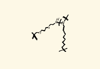 CC(C)(C)CCCCCCCCN(C(C)(C)C)C(C)(C)NCCSCCCOCC(C)(C)C